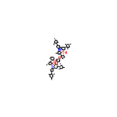 CC1=CC(C)C(C2=CC3c4cc(-c5c(C)cc(C)cc5C)ccc4N(c4cc(C)cc(-c5ccccc5O[C@@H]5CCC[C@H](Oc6ccccc6-c6cc(C)cc(-n7c8ccc(-c9c(C)cc(C)cc9C)cc8c8cc(-c9c(C)cc(C)cc9C)ccc87)c6O)C5)c4O)C3C=C2)C(C)=C1